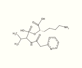 CC(C)C(NC(=O)Cc1ccccn1)P(=O)(O)O[C@@H](CCCCN)C(=O)O